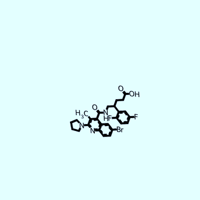 Cc1c(N2CCCC2)nc2ccc(Br)cc2c1C(=O)NCC(CCC(=O)O)c1cc(F)ccc1F